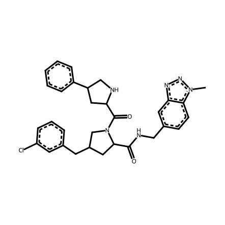 Cn1nnc2cc(CNC(=O)C3CC(Cc4cccc(Cl)c4)CN3C(=O)C3CC(c4ccccc4)CN3)ccc21